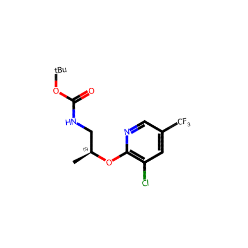 C[C@@H](CNC(=O)OC(C)(C)C)Oc1ncc(C(F)(F)F)cc1Cl